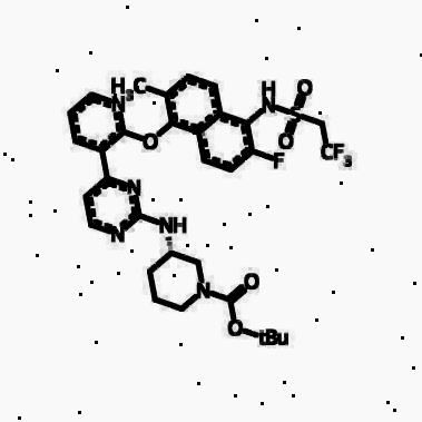 Cc1ccc2c(NS(=O)(=O)CC(F)(F)F)c(F)ccc2c1Oc1ncccc1-c1ccnc(N[C@H]2CCCN(C(=O)OC(C)(C)C)C2)n1